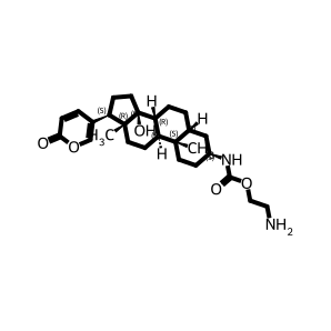 C[C@]12CC[C@H](NC(=O)OCCN)C[C@H]1CC[C@@H]1[C@@H]2CC[C@]2(C)[C@@H](c3ccc(=O)oc3)CC[C@]12O